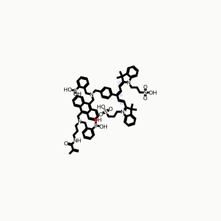 C=C(C)C(=O)NCCCN(Cc1ccccc1B(O)O)Cc1c2ccccc2c(CN(Cc2ccc(C(=C\C=C3/N(CCCS(=O)(=O)O)c4ccccc4C3(C)C)/C=C/C3=[N+](CCCS(=O)(=O)O)c4ccccc4C3(C)C)cc2)Cc2ccccc2B(O)O)c2ccccc12